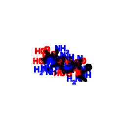 CC[C@H](C)[C@H](NC(=O)[C@H](Cc1ccccc1)NC(=O)[C@H](CCC(N)=O)NC(=O)[C@H](CC(=O)O)NC(=O)[C@H](C)NC(=O)[C@H](CO)NC(=O)[C@H](CCCNC(=N)N)NC(=O)[C@H](CCCNC(=N)N)NC(=O)[C@H](CCCCN)NC(=O)[C@H](CCC(=O)O)NC(=O)[C@H](CO)NC)C(N)=O